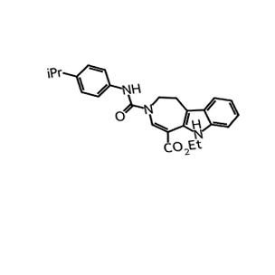 CCOC(=O)C1=CN(C(=O)Nc2ccc(C(C)C)cc2)CCc2c1[nH]c1ccccc21